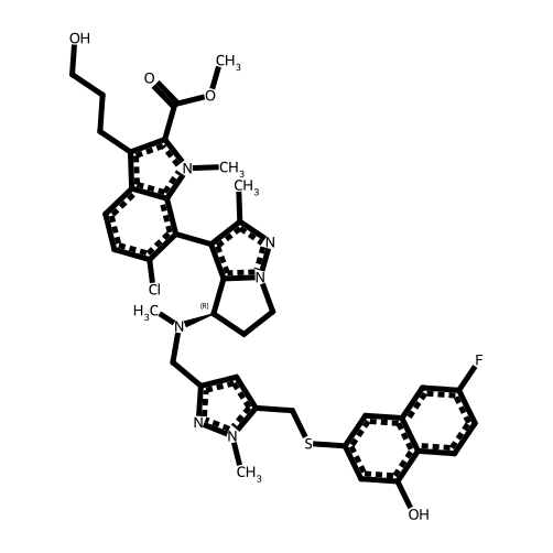 COC(=O)c1c(CCCO)c2ccc(Cl)c(-c3c(C)nn4c3[C@H](N(C)Cc3cc(CSc5cc(O)c6ccc(F)cc6c5)n(C)n3)CC4)c2n1C